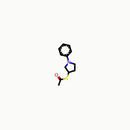 CC(=O)SC1CCN(c2ccccc2)C1